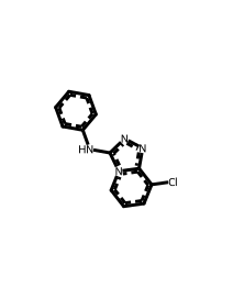 Clc1cccn2c(Nc3ccccc3)nnc12